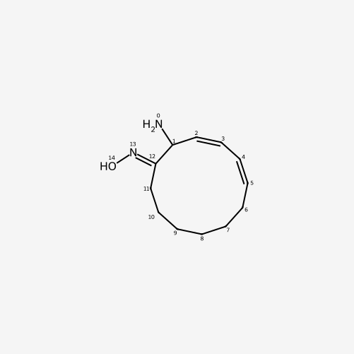 NC1C=CC=CCCCCCCC1=NO